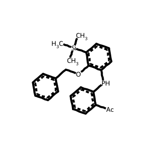 CC(=O)c1ccccc1Pc1cccc([Si](C)(C)C)c1OCc1ccccc1